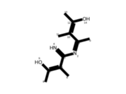 CC(=N/C(=N)/C(C)=C(/C)O)/C(C)=C(/C)O